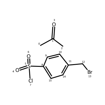 CC(C)=O.O=S(=O)(Cl)c1ccc(CBr)cc1